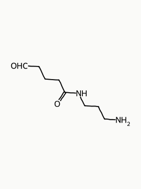 NCCCNC(=O)CCCC=O